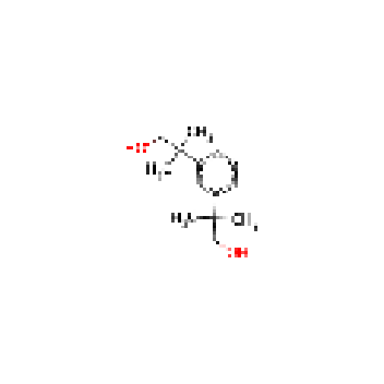 CC(C)(CO)c1cccc(C(C)(C)CO)c1